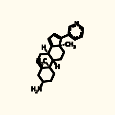 C[C@]12CC[C@H]3[C@@H](CC=C4C[C@H](N)CC[C@@]43C)C1=CC=C2c1cccnc1